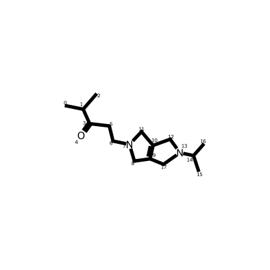 CC(C)C(=O)CCN1CC2=C(C1)CN(C(C)C)C2